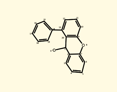 [O]C1c2ccccc2Oc2cccc(-c3ccccc3)c21